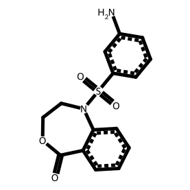 Nc1cccc(S(=O)(=O)N2CCOC(=O)c3ccccc32)c1